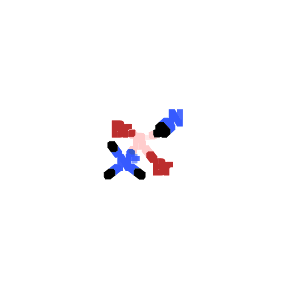 C[N+](C)(C)[B-](Br)(Br)C#N